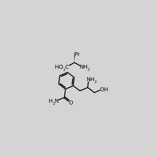 CC(C)[C@H](N)C(=O)O.NC(=O)c1ccccc1CC(N)CO